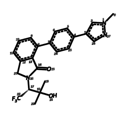 Cn1cc(-c2ccc(-c3cccc4c3C(=O)N([C@H](C(C)(C)O)C(F)(F)F)C4)cc2)cn1